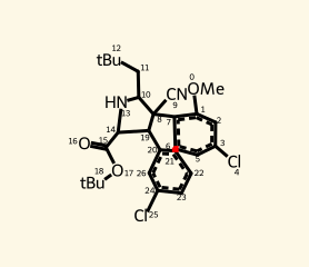 COc1cc(Cl)ccc1C1(C#N)C(CC(C)(C)C)NC(C(=O)OC(C)(C)C)C1c1cccc(Cl)c1